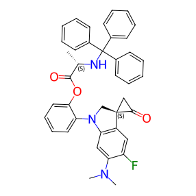 C[C@H](NC(c1ccccc1)(c1ccccc1)c1ccccc1)C(=O)Oc1ccccc1N1C[C@]2(CC2=O)c2cc(F)c(N(C)C)cc21